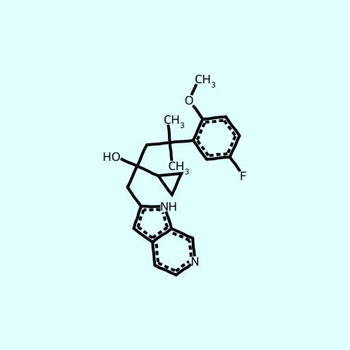 COc1ccc(F)cc1C(C)(C)CC(O)(Cc1cc2ccncc2[nH]1)C1CC1